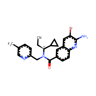 N#CC[C@@H](C1CC1)N(Cc1ccc(C(F)(F)F)cn1)C(=O)c1ccc2nc(N)c(Br)cc2c1